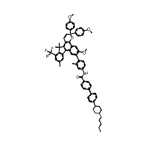 CCCCCC1CCC(c2ccc(-c3ccc(C(=O)Nc4ccc(-c5cc6c7c(c8c(c6cc5OC)OC(c5ccc(OC)cc5)(c5ccc(OC)cc5)C=C8)C(C)(C)c5c-7cc(C)cc5C(F)(F)F)c(C)c4)cc3)cc2)CC1